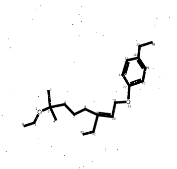 CCOC(C)(C)CCCC(=CCOc1ccc(CC)cc1)CC